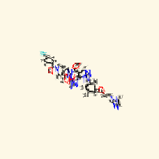 O=C(c1ccc(F)cc1)N1CCC(O)(Cn2cnc3c(cnn3-c3cccc(OCCn4ccnc4)c3)c2=O)CC1